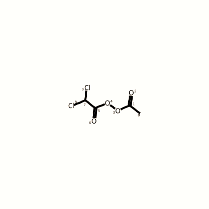 CC(=O)OOC(=O)C(Cl)Cl